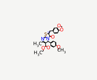 CCOC(=O)C1=C(C)N=c2s/c(=C/c3ccc4c(c3)OCO4)c(=O)n2C1c1ccc(OC)cc1